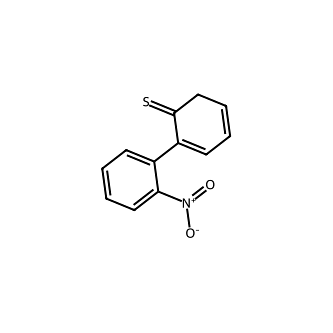 O=[N+]([O-])c1ccccc1C1=CC=CCC1=S